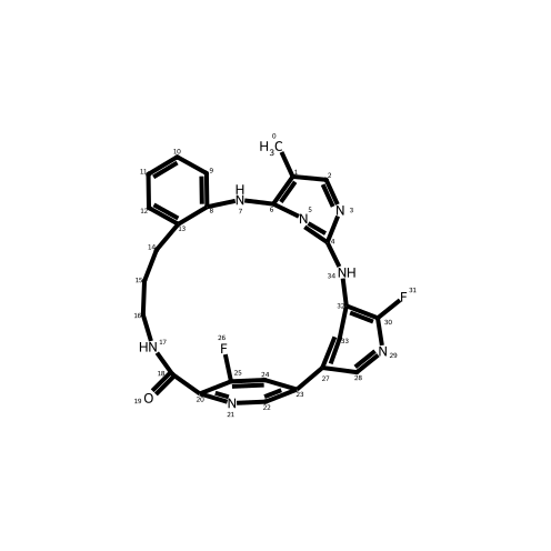 Cc1cnc2nc1Nc1ccccc1CCCNC(=O)c1ncc(cc1F)-c1cnc(F)c(c1)N2